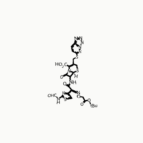 CC(C)(C)OC(=O)CON=C(C(=O)NC1C(=O)N2C(C(=O)O)=C(CSc3ccc4nnnn4n3)CS[C@@H]12)c1csc(NC=O)n1